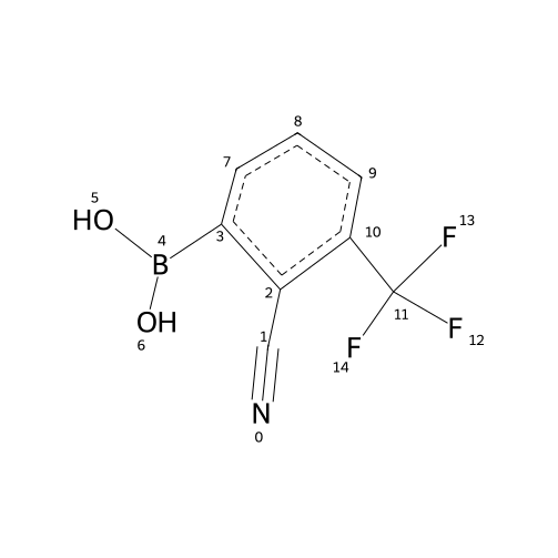 N#Cc1c(B(O)O)cccc1C(F)(F)F